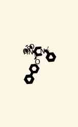 C[C@H](c1ccccc1)N1CCC(NS(C)(=O)=O)[C@H](COC2CCC(c3ccccc3)CC2)C1